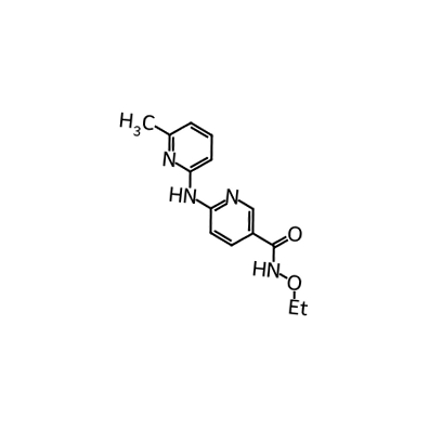 CCONC(=O)c1ccc(Nc2cccc(C)n2)nc1